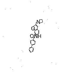 O=C(Nc1ccc2c(c1)OCC(CN1CCCC1)=C2)c1ccc(-c2ccccc2)cc1